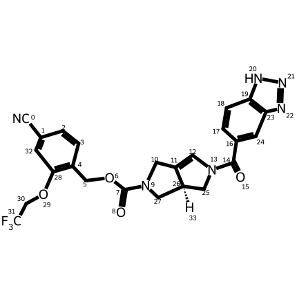 N#Cc1ccc(COC(=O)N2CC3=CN(C(=O)c4ccc5[nH]nnc5c4)C[C@H]3C2)c(OCC(F)(F)F)c1